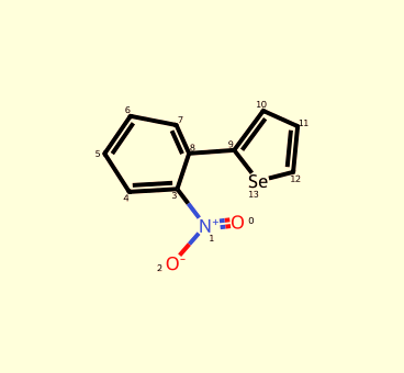 O=[N+]([O-])c1ccccc1-c1ccc[se]1